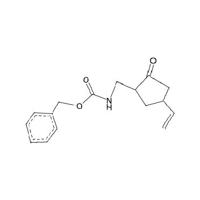 C=CC1CC(=O)C(CNC(=O)OCc2ccccc2)C1